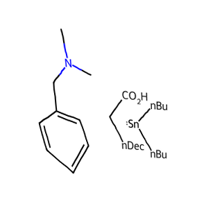 CCCCCCCCCCCC(=O)O.CCC[CH2][Sn][CH2]CCC.CN(C)Cc1ccccc1